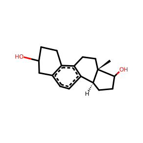 C[C@]12CCc3c(ccc4c3CCC(O)C4)[C@@H]1CCC2O